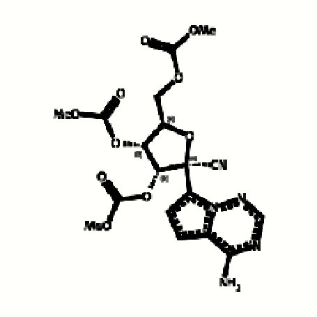 COC(=O)OC[C@H]1O[C@@](C#N)(c2ccc3c(N)ncnn23)[C@H](OC(=O)OC)[C@@H]1OC(=O)OC